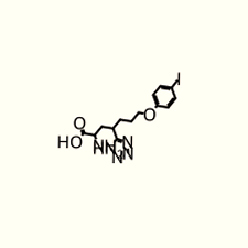 NC(CC(CCCOc1ccc(I)cc1)c1nnn[nH]1)C(=O)O